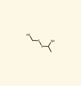 CC(S)SSCS